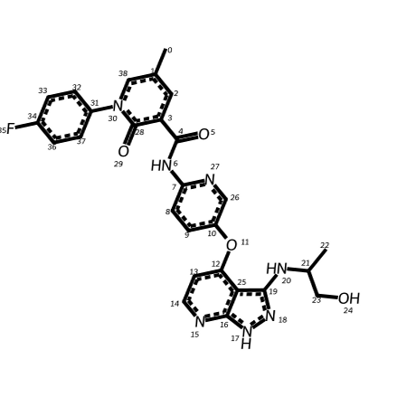 Cc1cc(C(=O)Nc2ccc(Oc3ccnc4[nH]nc(NC(C)CO)c34)cn2)c(=O)n(-c2ccc(F)cc2)c1